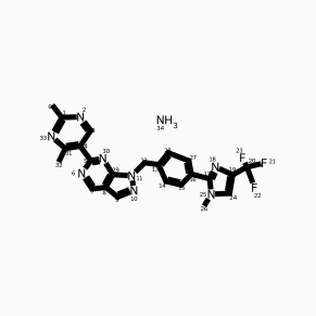 Cc1ncc(-c2ncc3cnn(Cc4ccc(-c5nc(C(F)(F)F)cn5C)cc4)c3n2)c(C)n1.N